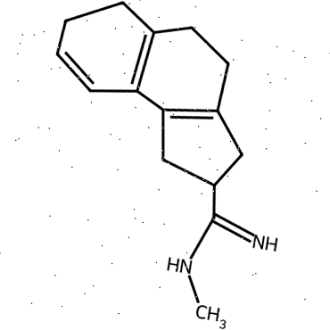 CNC(=N)C1CC2=C(C1)C1=C(CCC=C1)CC2